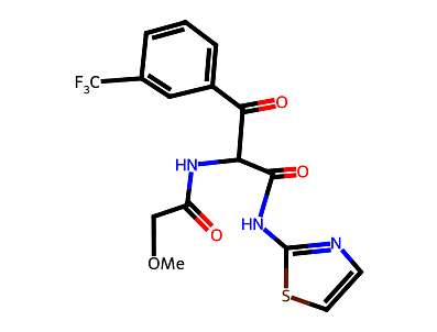 COCC(=O)NC(C(=O)Nc1nccs1)C(=O)c1cccc(C(F)(F)F)c1